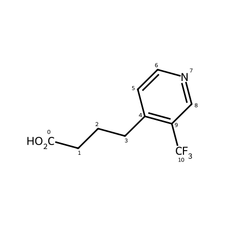 O=C(O)CCCc1ccncc1C(F)(F)F